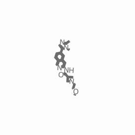 COCCN1CC(C(=O)Nc2cc3cc(-c4cnc(C)n4C)ccc3cn2)C1